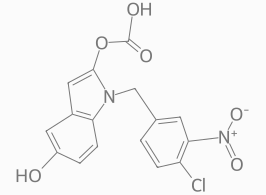 O=C(O)Oc1cc2cc(O)ccc2n1Cc1ccc(Cl)c([N+](=O)[O-])c1